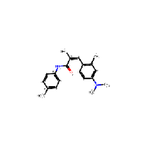 Cc1cc(N(C)C)ccc1C=C(C=O)C(=O)Nc1ccc(C(=O)O)cc1